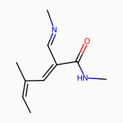 C\C=C(C)/C=C(\C=N\C)C(=O)NC